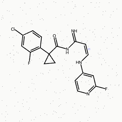 N=C(/C=C\Nc1ccnc(F)c1)NC(=O)C1(c2ccc(Cl)cc2F)CC1